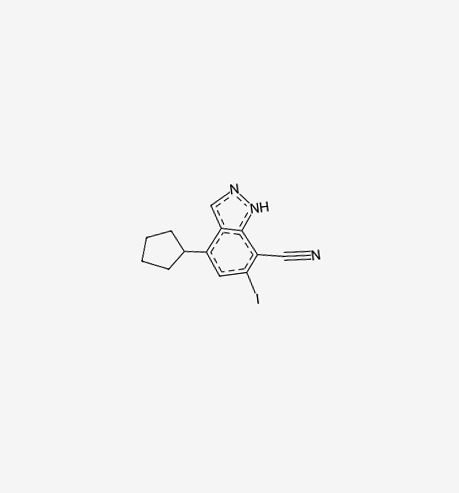 N#Cc1c(I)cc(C2CCCC2)c2cn[nH]c12